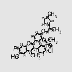 CC1=C(c2ccc(Cl)c(S(C)(=O)=O)c2)C(c2ccc(OC[C@H](C)N3CC[C@@H](C)C3)cc2)Oc2cc(F)c(O)cc21